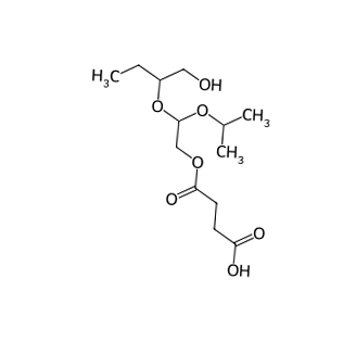 CCC(CO)OC(COC(=O)CCC(=O)O)OC(C)C